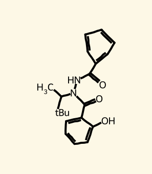 CC(N(NC(=O)c1ccccc1)C(=O)c1ccccc1O)C(C)(C)C